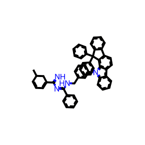 CC1C=CC=C(C(=N)/N=C(\NCc2cccc(-n3c4ccccc4c4ccc5c(c43)C(c3ccccc3)(c3ccccc3)c3ccccc3-5)c2)c2ccccc2)C1